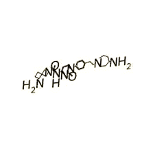 NC1CCCN(CCc2ccc(-n3ccc(NC(=O)N4CC5(CCC5N)C4)nc3=O)cc2)CC1